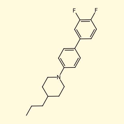 CCCC1CCN(c2ccc(-c3ccc(F)c(F)c3)cc2)CC1